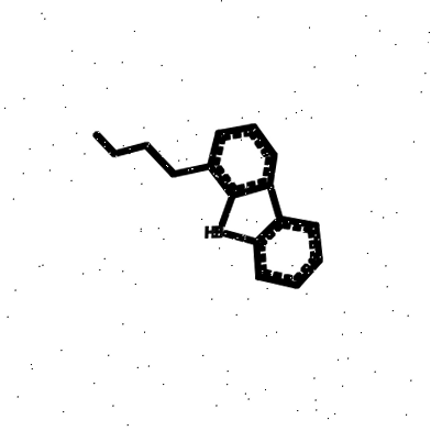 CCCCc1cccc2c1Bc1ccccc1-2